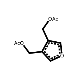 CC(=O)OCc1cocc1COC(C)=O